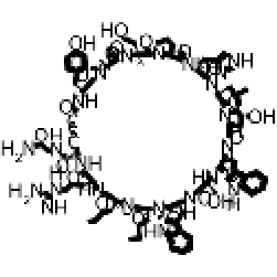 CCCC[C@H]1C(=O)N(C)[C@@H](CCCC)C(=O)N[C@@H](CCCNC(=N)N)C(=O)N[C@H](C(=O)NCC(N)=O)CSCC(=O)N[C@@H](Cc2ccc(O)cc2)C(=O)N(C)[C@@H](C)C(=O)N[C@@H](CC(=O)O)C(=O)N2CCC[C@H]2C(=O)N[C@@H](Cc2c[nH]cn2)C(=O)N[C@@H](CC(C)C)C(=O)N2C[C@H](O)C[C@H]2C(=O)N[C@@H](Cc2c[nH]c3ccccc23)C(=O)N[C@@H](CO)C(=O)N[C@@H](Cc2c[nH]c3ccccc23)C(=O)N1C